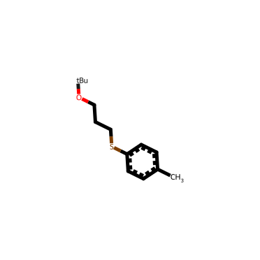 Cc1ccc(SCCCOC(C)(C)C)cc1